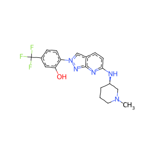 CN1CCC[C@@H](Nc2ccc3cn(-c4ccc(C(F)(F)F)cc4O)nc3n2)C1